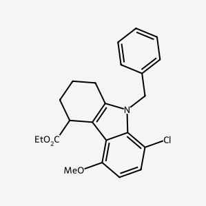 CCOC(=O)C1CCCc2c1c1c(OC)ccc(Cl)c1n2Cc1ccccc1